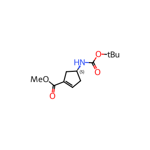 COC(=O)C1=CC[C@H](NC(=O)OC(C)(C)C)C1